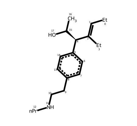 CC/C=C(\CC)[C@@H](c1ccc(CCNCCC)cc1)C(C)O